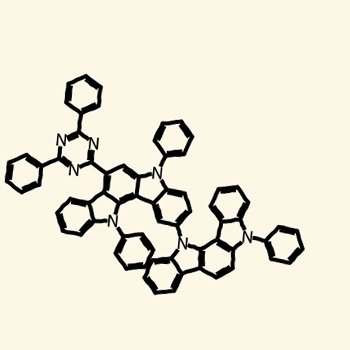 c1ccc(-c2nc(-c3ccccc3)nc(-c3cc4c(c5cc(-n6c7ccccc7c7ccc8c(c9ccccc9n8-c8ccccc8)c76)ccc5n4-c4ccccc4)c4c3c3ccccc3n4-c3ccccc3)n2)cc1